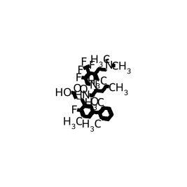 Cc1cc(-c2c(C)cccc2C)cc([C@H](CC(=O)O)NC(=O)C(CC(C)C)n2cc(CCN(C)C)c(C(F)(F)F)c(F)c2=O)c1F